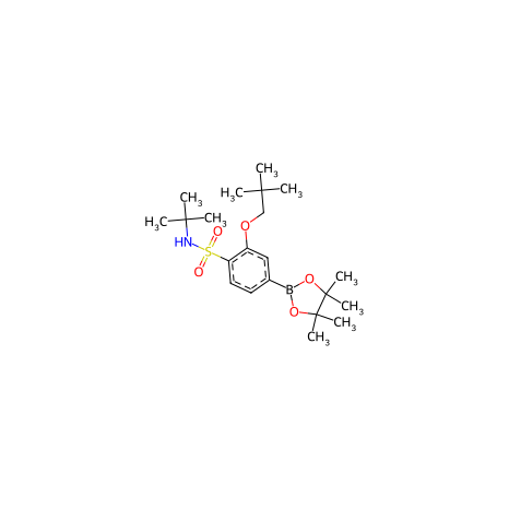 CC(C)(C)COc1cc(B2OC(C)(C)C(C)(C)O2)ccc1S(=O)(=O)NC(C)(C)C